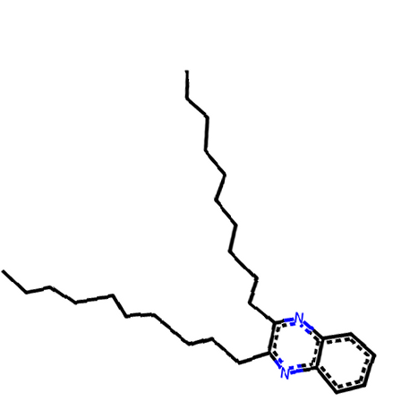 CCCCCCCCCCc1nc2ccccc2nc1CCCCCCCCCC